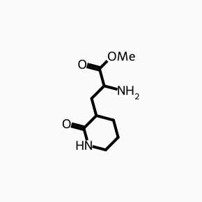 COC(=O)C(N)CC1CCCNC1=O